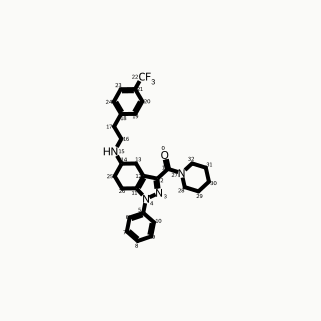 O=C(c1nn(-c2ccccc2)c2c1CC(NCCc1ccc(C(F)(F)F)cc1)CC2)N1CCCCC1